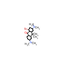 CN(C)c1ccc2c(c1)C(C)(C)c1cc(N(C)C)cc(Br)c1C2=O